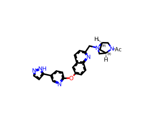 CC(=O)N1C[C@H]2C[C@@H]1CN2Cc1ccc2cc(Oc3ccc(-c4ccn[nH]4)cn3)ccc2n1